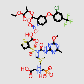 CCOC(=O)C(C)OC(=O)c1cc(Oc2ccc(C(F)(F)F)cc2Cl)ccc1[N+](=O)[O-].COc1nc(C)nc(NC(=O)NS(=O)(=O)c2ccsc2C(=O)O)n1.C[S+](C)C.O=C(O)CNCP(=O)([O-])O